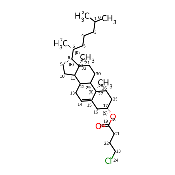 CC(C)CCC[C@@H](C)[C@H]1CCC2C3CC=C4C[C@@H](OC(=O)CCCCl)CC[C@]4(C)C3CC[C@@]21C